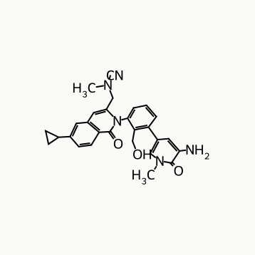 CN(C#N)Cc1cc2cc(C3CC3)ccc2c(=O)n1-c1cccc(-c2cc(N)c(=O)n(C)c2)c1CO